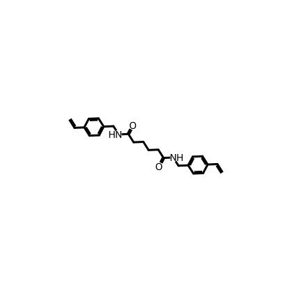 C=Cc1ccc(CNC(=O)CCCCC(=O)NCc2ccc(C=C)cc2)cc1